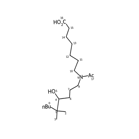 CCCCC(C)(C)C(O)CCCN(CCCCCCC(=O)O)C(C)=O